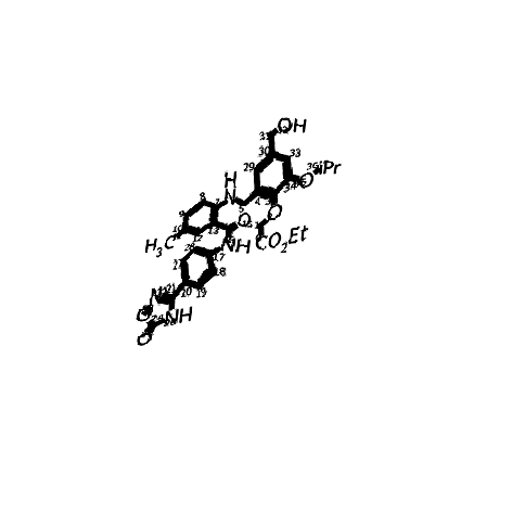 CCOC(=O)COc1c(CNc2ccc(C)cc2C(=O)Nc2ccc(-c3noc(=O)[nH]3)cc2)cc(CO)cc1OC(C)C